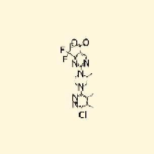 COC(=O)c1cnc(N2CCN(c3nnc(Cl)c(C)c3C)CC2C)nc1C(F)(F)F